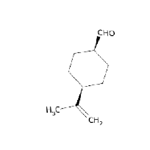 C=C(C)[C@H]1CC[C@@H](C=O)CC1